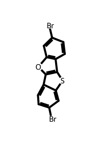 Brc1ccc2c(c1)oc1c3ccc(Br)cc3sc21